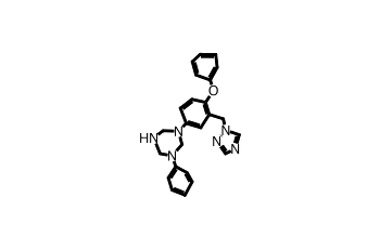 c1ccc(Oc2ccc(N3CNCN(c4ccccc4)C3)cc2Cn2cncn2)cc1